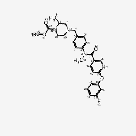 C[C@H]1CN(Cc2ccc(N(C)C(=O)c3ccc(Oc4cccc(F)c4)nc3)cc2)CCN1C(=O)OC(C)(C)C